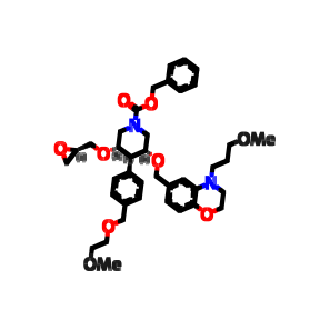 COCCCN1CCOc2ccc(CO[C@H]3CN(C(=O)OCc4ccccc4)C[C@@H](OC[C@H]4CO4)[C@@H]3c3ccc(COCCOC)cc3)cc21